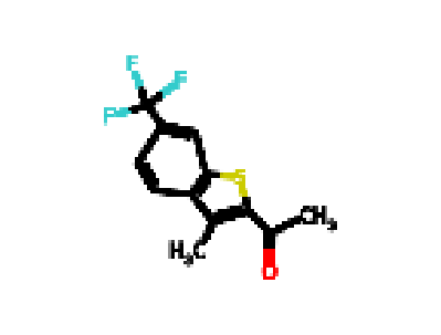 CC(=O)c1sc2cc(C(F)(F)F)ccc2c1C